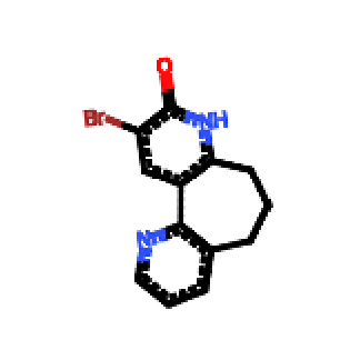 O=c1[nH]c2c(cc1Br)-c1ncccc1CCC2